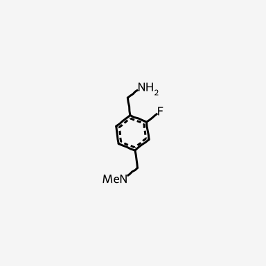 CNCc1ccc(CN)c(F)c1